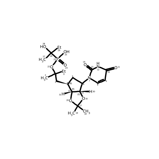 CCC(C)(C[C@H]1CC(n2ccc(=O)[nH]c2=O)[C@@H]2OC(C)(C)O[C@H]12)OP(=O)(O)C(C)(O)CC